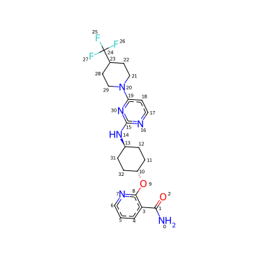 NC(=O)c1cccnc1O[C@H]1CC[C@H](Nc2nccc(N3CCC(C(F)(F)F)CC3)n2)CC1